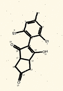 CCc1cc(C)cc(CC)c1C1=C(O)C2CC(=O)CC2C1=O